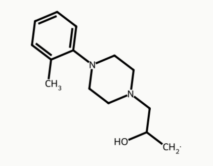 [CH2]C(O)CN1CCN(c2ccccc2C)CC1